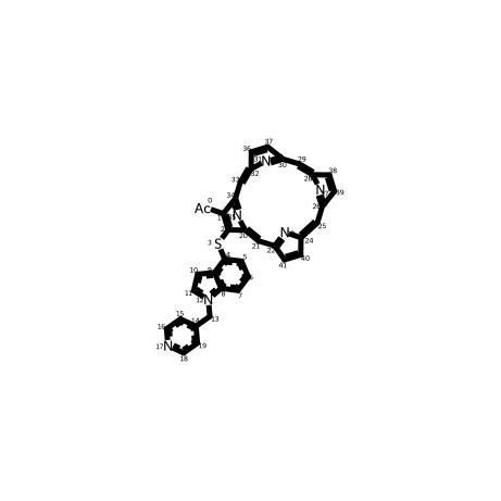 CC(=O)C1=C(Sc2cccc3c2ccn3Cc2ccncc2)C2=CC3=NC(=CC4=NC(=CC5=NC(=CC1=N2)C=C5)C=C4)C=C3